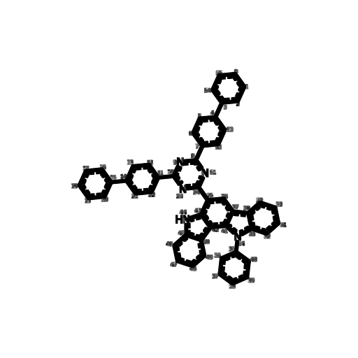 c1ccc(-c2ccc(-c3nc(-c4ccc(-c5ccccc5)cc4)nc(-c4cc5c6ccccc6n(-c6ccccc6)c5c5c4[nH]c4ccccc45)n3)cc2)cc1